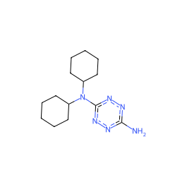 Nc1nnc(N(C2CCCCC2)C2CCCCC2)nn1